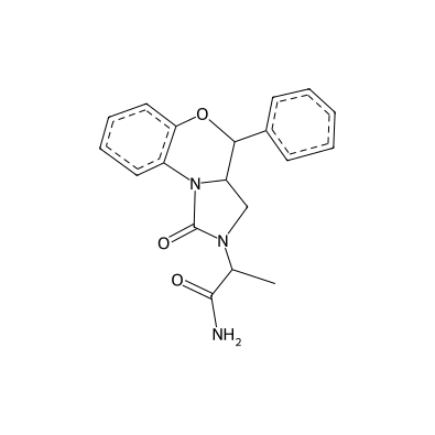 CC(C(N)=O)N1CC2C(c3ccccc3)Oc3ccccc3N2C1=O